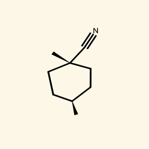 C[C@H]1CC[C@](C)(C#N)CC1